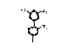 Cc1ccc(-c2cc(C(F)(F)F)cc(C(F)(F)F)c2)c(C(F)(F)F)c1